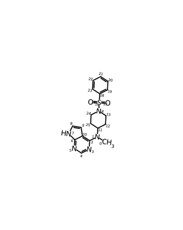 CN(c1ncnc2[nH]ccc12)C1CCN(S(=O)(=O)c2ccccc2)CC1